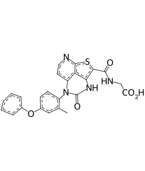 Cc1cc(Oc2ccccc2)ccc1N1C(=O)Nc2c(C(=O)NCC(=O)O)sc3nccc1c23